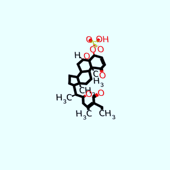 CCC1=C(C)CC([C@@H](C)C2CCC3C4C[C@H]5O[C@]56[C@@H](OS(=O)(=O)O)C=CC(=O)[C@]6(C)C4CC[C@@]32C)OC1=O